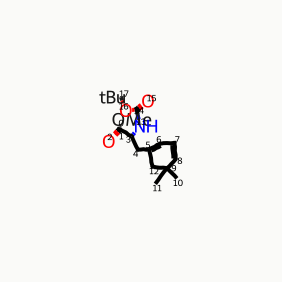 COC(=O)C(CC1=CC=CC(C)(C)C1)NC(=O)OC(C)(C)C